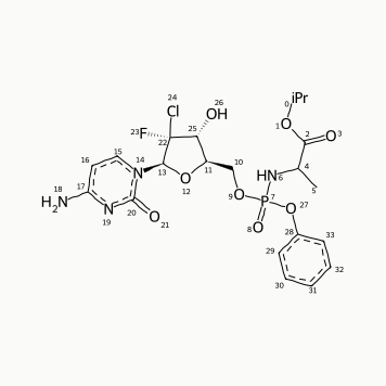 CC(C)OC(=O)C(C)NP(=O)(OC[C@H]1O[C@@H](n2ccc(N)nc2=O)[C@@](F)(Cl)[C@@H]1O)Oc1ccccc1